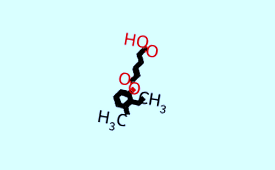 CCc1cccc(OC(=O)C=CCCC(=O)O)c1CC